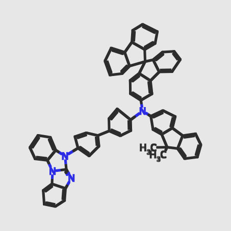 CC1(C)c2ccccc2-c2ccc(N(c3ccc(-c4ccc(-n5c6ccccc6n6c7ccccc7nc56)cc4)cc3)c3ccc4c(c3)-c3ccccc3C43c4ccccc4-c4ccccc43)cc21